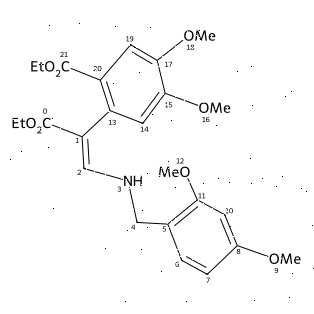 CCOC(=O)C(=CNCc1ccc(OC)cc1OC)c1cc(OC)c(OC)cc1C(=O)OCC